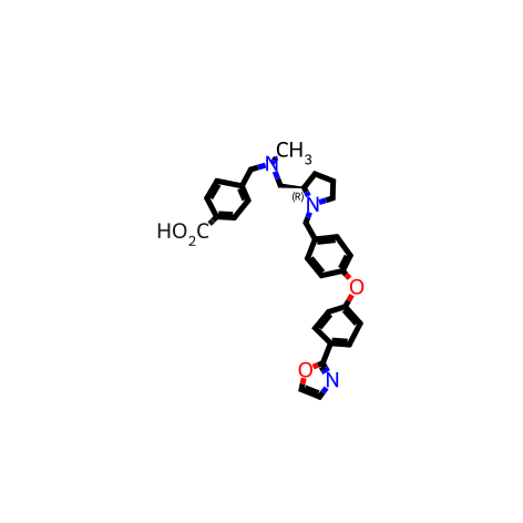 CN(Cc1ccc(C(=O)O)cc1)C[C@H]1CCCN1Cc1ccc(Oc2ccc(-c3ncco3)cc2)cc1